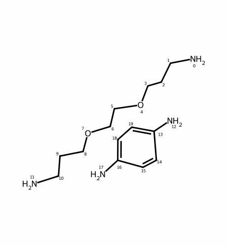 NCCCOCCOCCCN.Nc1ccc(N)cc1